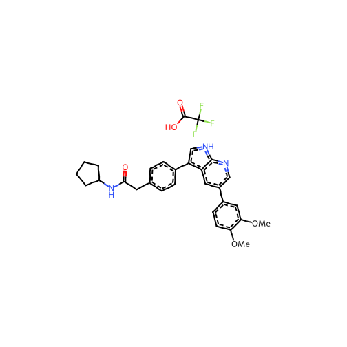 COc1ccc(-c2cnc3[nH]cc(-c4ccc(CC(=O)NC5CCCC5)cc4)c3c2)cc1OC.O=C(O)C(F)(F)F